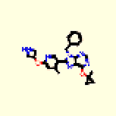 Cc1cc(OC2CNC2)ncc1-c1nc2c(OC3(C)CC3)ncnc2n1Cc1ccccc1